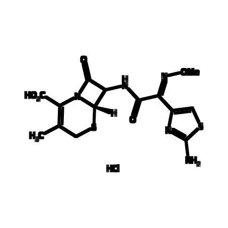 CON=C(C(=O)NC1C(=O)N2C(C(=O)O)=C(C)CS[C@@H]12)c1csc(N)n1.Cl